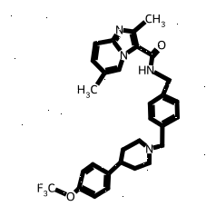 Cc1ccc2nc(C)c(C(=O)NCc3ccc(CN4CCC(c5ccc(OC(F)(F)F)cc5)CC4)cc3)n2c1